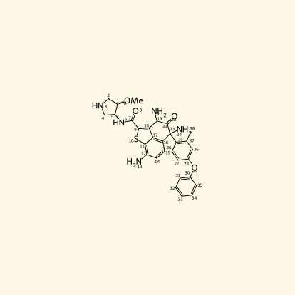 CO[C@@H]1CNC[C@@H]1NC(=O)c1sc2c(N)ccc3c2c1C(N)C(=O)C3(N)c1ccc(Oc2ccccc2)cc1C